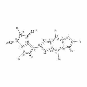 Cc1cc2c(C)c3sc(-c4sc(C)c5c4C(=O)N(C)C5=O)cc3c(C)c2s1